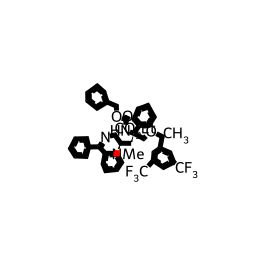 CCOC(=O)[C@@H](N=C(c1ccccc1)c1ccccc1)[C@H](C[C@](CO[C@H](C)c1cc(C(F)(F)F)cc(C(F)(F)F)c1)(NC(=O)OCc1ccccc1)c1ccccc1)NC